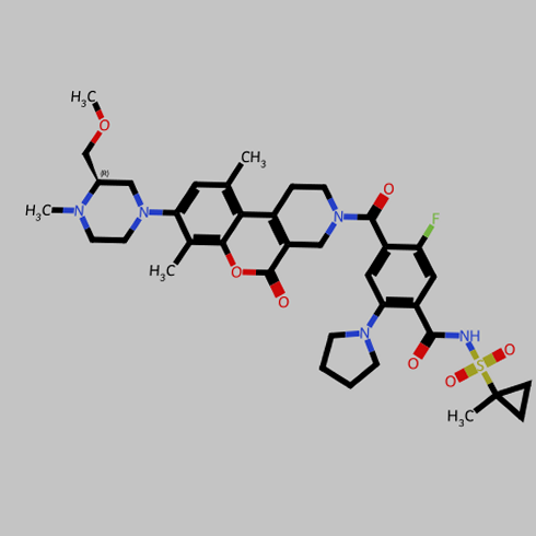 COC[C@H]1CN(c2cc(C)c3c4c(c(=O)oc3c2C)CN(C(=O)c2cc(N3CCCC3)c(C(=O)NS(=O)(=O)C3(C)CC3)cc2F)CC4)CCN1C